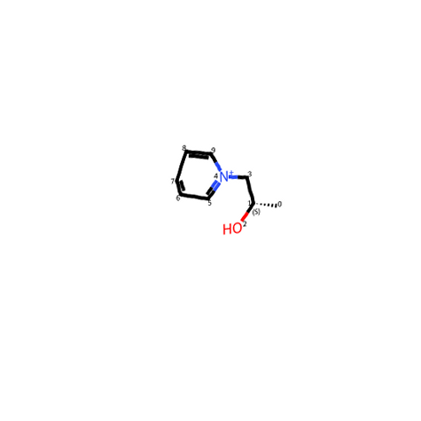 C[C@H](O)C[n+]1ccccc1